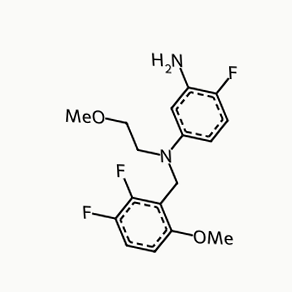 COCCN(Cc1c(OC)ccc(F)c1F)c1ccc(F)c(N)c1